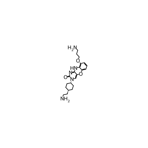 NCCCOc1cccc2c1Nc1nc(=O)n([C@H]3CC[C@H](CCN)CC3)cc1O2